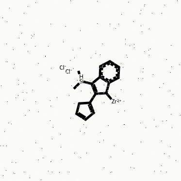 C[SiH](C)C1=C(C2=CC=CC2)[CH]([Zr+2])c2ccccc21.[Cl-].[Cl-]